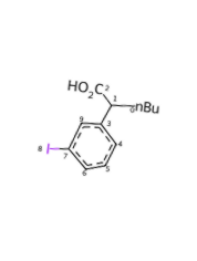 CCCCC(C(=O)O)c1cccc(I)c1